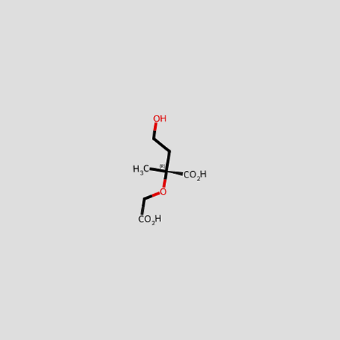 C[C@](CCO)(OCC(=O)O)C(=O)O